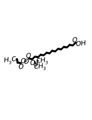 CCCC(=O)OOC(=O)C(CCCCCCCCCCCCCCC(=O)O)ON(C)C